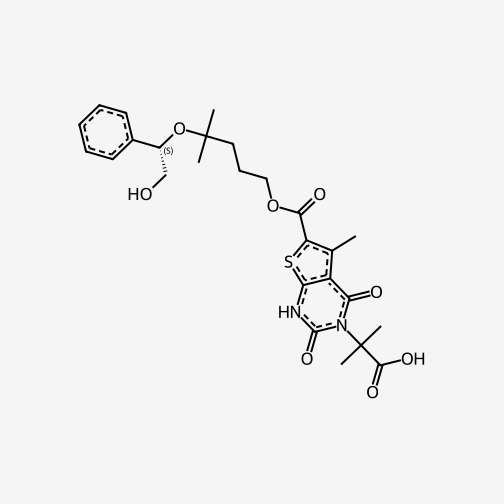 Cc1c(C(=O)OCCCC(C)(C)O[C@H](CO)c2ccccc2)sc2[nH]c(=O)n(C(C)(C)C(=O)O)c(=O)c12